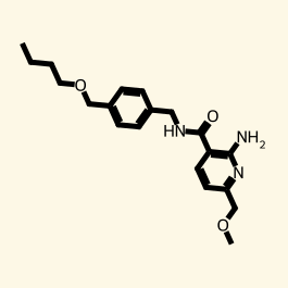 CCCCOCc1ccc(CNC(=O)c2ccc(COC)nc2N)cc1